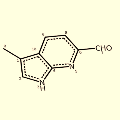 Cc1c[nH]c2nc(C=O)ccc12